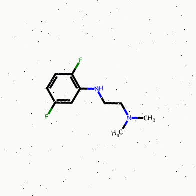 CN(C)CCNc1cc(F)[c]cc1F